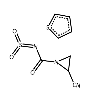 N#CC1CN1C(=O)N=S(=O)=O.c1ccsc1